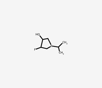 CC(C)N1CC(O)C(F)C1